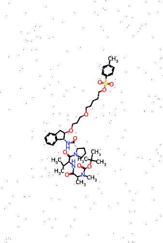 Cc1ccc(S(=O)(=O)OCCCCCOCCCO[C@@H]2Cc3ccccc3[C@@H]2NC(=O)[C@@H]2CCCN2C(=O)[C@@H](NC(=O)[C@H](C)N(C)C(=O)OC(C)(C)C)C(C)C)cc1